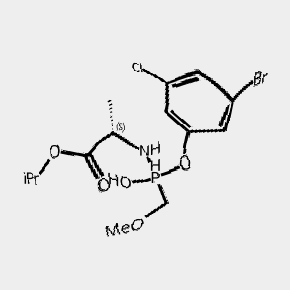 COC[PH](O)(N[C@@H](C)C(=O)OC(C)C)Oc1cc(Cl)cc(Br)c1